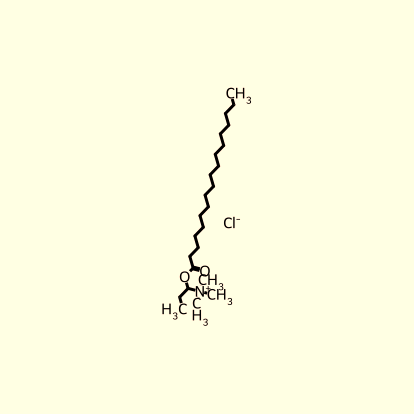 CCCCCCCCCCCCCCCCCC(=O)OC(CC)[N+](C)(C)C.[Cl-]